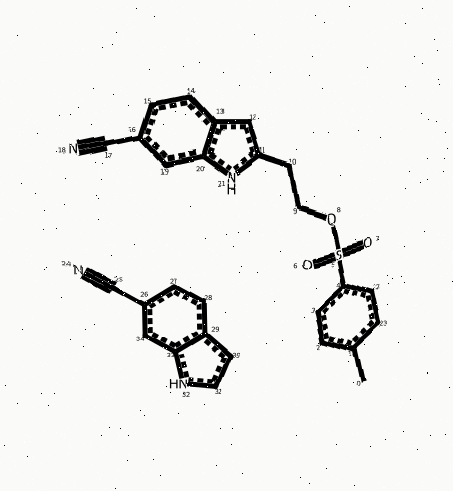 Cc1ccc(S(=O)(=O)OCCc2cc3ccc(C#N)cc3[nH]2)cc1.N#Cc1ccc2cc[nH]c2c1